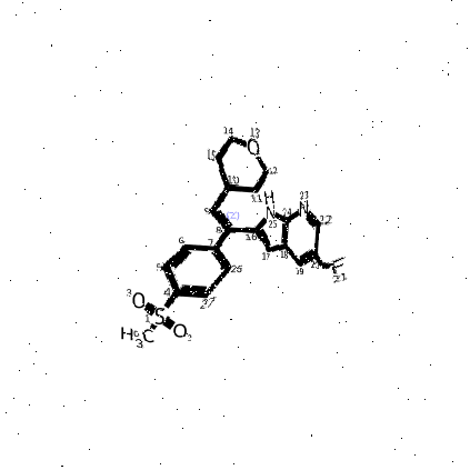 CS(=O)(=O)c1ccc(/C(=C/C2CCOCC2)c2cc3cc(F)cnc3[nH]2)cc1